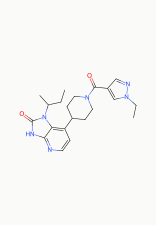 CCC(C)n1c(=O)[nH]c2nccc(C3CCN(C(=O)c4cnn(CC)c4)CC3)c21